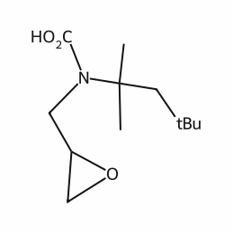 CC(C)(C)CC(C)(C)N(CC1CO1)C(=O)O